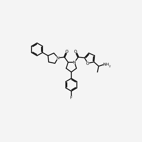 CC(N)c1ccc(C(=O)N2CC(c3ccc(F)cc3)CC2C(=O)N2CCC(c3ccccc3)C2)o1